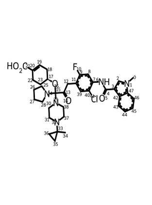 Cn1cc(C(=O)Nc2cc(F)c(CC(=O)C(O[C@@H]3CC=C(C(=O)O)CC3)(N3CCCC3)N3CCN(C4(C)CC4)CC3)cc2Cl)c2ccccc21